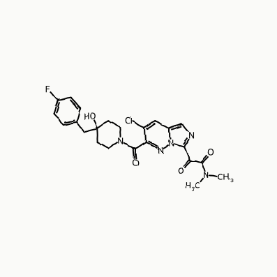 CN(C)C(=O)C(=O)c1ncc2cc(Cl)c(C(=O)N3CCC(O)(Cc4ccc(F)cc4)CC3)nn12